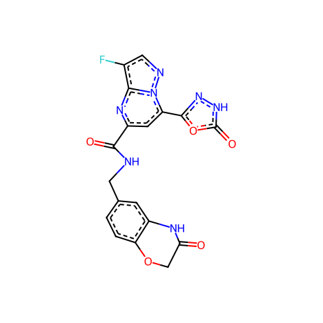 O=C1COc2ccc(CNC(=O)c3cc(-c4n[nH]c(=O)o4)n4ncc(F)c4n3)cc2N1